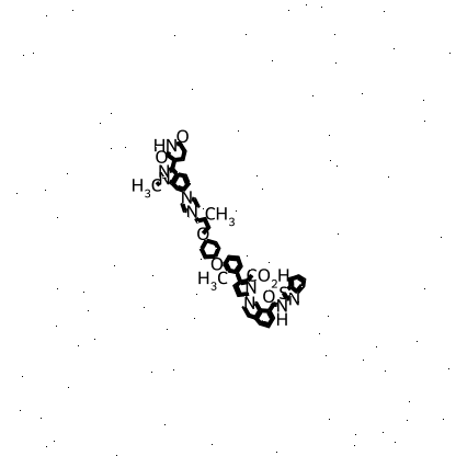 Cc1c(OC2CCC(OC[C@H](C)CN3CCN(c4ccc5c(C6CCC(=O)NC6=O)nn(C)c5c4)CC3)CC2)cccc1-c1ccc(N2CCc3cccc(C(=O)Nc4nc5ccccc5s4)c3C2)nc1C(=O)O